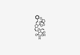 C=CC1OC(/C=C\C2CC(/C=C/c3ccccc3)C(C(=O)ON3C(=O)CCC3=O)C2)C(C(=O)O)C1C(=O)O